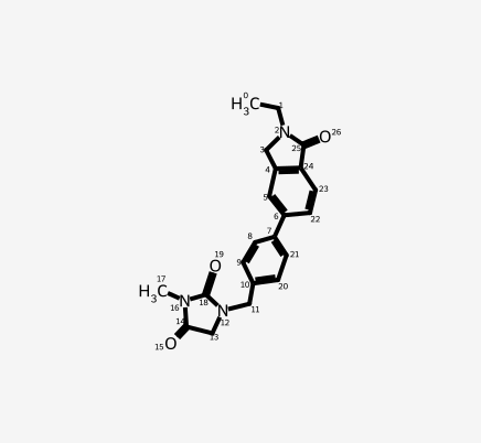 CCN1Cc2cc(-c3ccc(CN4CC(=O)N(C)C4=O)cc3)ccc2C1=O